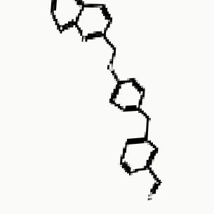 O=[C]c1cccc(Cc2ccc(OCc3ccc4ccccc4n3)cc2)c1